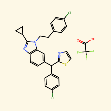 Clc1ccc(CCn2c(C3CC3)nc3ccc(C(c4ccc(Cl)cc4)c4nccs4)cc32)cc1.O=C(O)C(F)(F)F